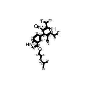 [C-]#[N+]C1=C(C(F)F)NC(C(F)F)=C(C#N)C1c1ccc2[nH]nc(OCCOC(C)C)c2c1